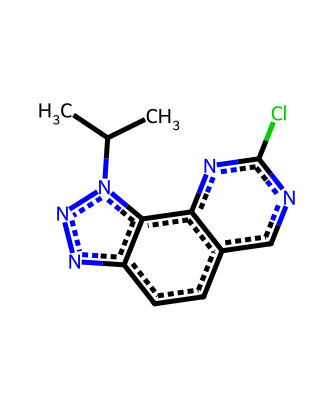 CC(C)n1nnc2ccc3cnc(Cl)nc3c21